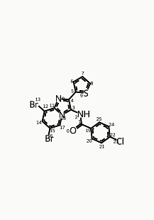 O=C(Nc1c(-c2cccs2)nc2c(Br)cc(Br)cn12)c1ccc(Cl)cc1